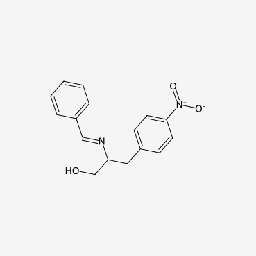 O=[N+]([O-])c1ccc(CC(CO)N=Cc2ccccc2)cc1